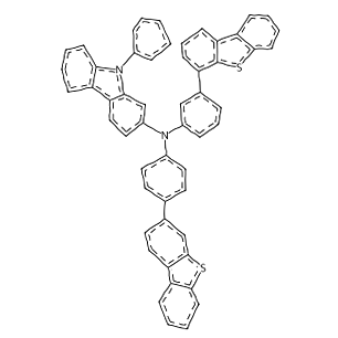 c1ccc(-n2c3ccccc3c3ccc(N(c4ccc(-c5ccc6c(c5)sc5ccccc56)cc4)c4cccc(-c5cccc6c5sc5ccccc56)c4)cc32)cc1